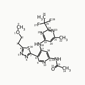 COCCc1nnc(-c2cnc(NC(C)=O)cc2Nc2cc(C)nc(C(C)(F)F)n2)s1